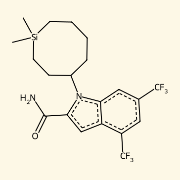 C[Si]1(C)CCCCC(n2c(C(N)=O)cc3c(C(F)(F)F)cc(C(F)(F)F)cc32)CC1